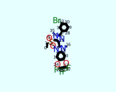 CCS(=O)(=O)c1c(-c2nc3cc4c(cc3n2C)OC(F)(F)C(F)(F)O4)nc(-c2cccc(Br)c2)n1C